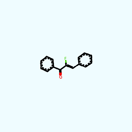 O=C(C(F)=Cc1ccccc1)c1ccccc1